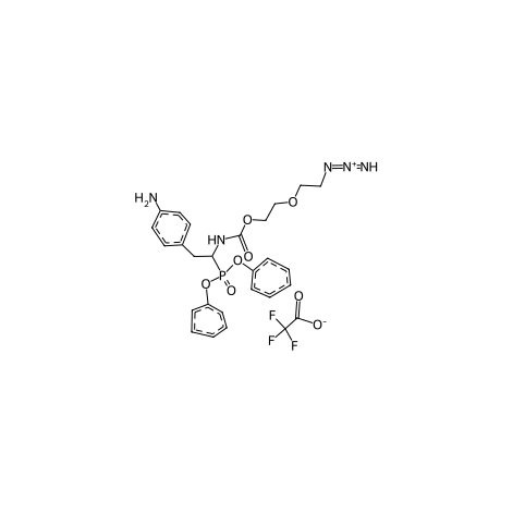 N=[N+]=NCCOCCOC(=O)NC(Cc1ccc(N)cc1)P(=O)(Oc1ccccc1)Oc1ccccc1.O=C([O-])C(F)(F)F